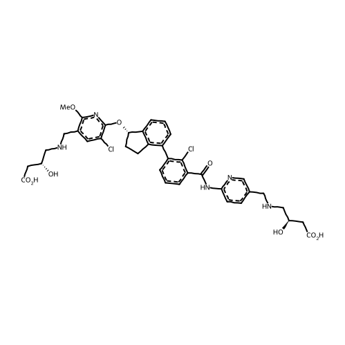 COc1nc(O[C@H]2CCc3c(-c4cccc(C(=O)Nc5ccc(CNC[C@H](O)CC(=O)O)cn5)c4Cl)cccc32)c(Cl)cc1CNC[C@H](O)CC(=O)O